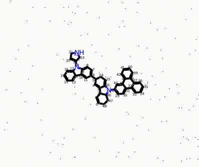 C1=CC2C3=CC(c4ccc5c(c4)c4ccccc4n5C4=CCNC4)CC=C3N(c3ccc4c5ccccc5c5ccccc5c4c3)C2CC1